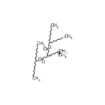 CCCCCCCCC(CCCCCCCC)COC(=O)CCN(CCCCN(C)C)CCC(=O)OCC(CCCCCCCC)CCCCCCCC